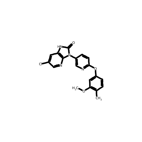 COc1cc(Oc2ccc(-n3c(=O)[nH]c4cc(Cl)cnc43)cn2)ccc1C